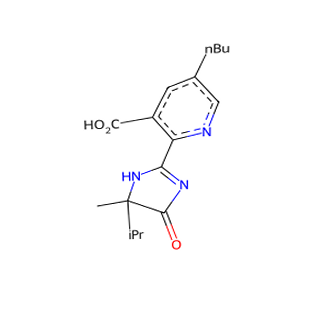 CCCCc1cnc(C2=NC(=O)C(C)(C(C)C)N2)c(C(=O)O)c1